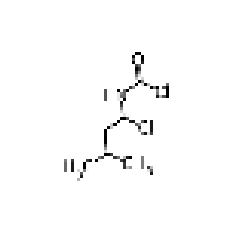 CC(C)CC(Cl)NC(=O)Cl